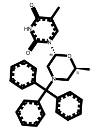 [CH2][C@H]1CN(C(c2ccccc2)(c2ccccc2)c2ccccc2)C[C@H](n2cc(C)c(=O)[nH]c2=O)O1